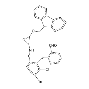 O=Cc1ccccc1Sc1c(CNC2OC2OCC2c3ccccc3-c3ccccc32)ccc(Br)c1Cl